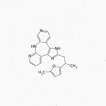 Cc1ccc(C(C)Cc2nc3c([nH]2)-c2ccncc2Nc2ncccc2-3)o1